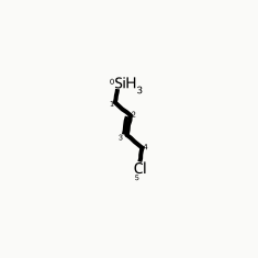 [SiH3]CC=CCCl